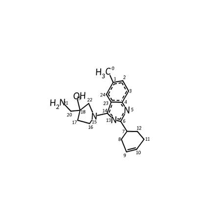 Cc1ccc2nc(C3CC=CCC3)nc(N3CCC(O)(CN)C3)c2c1